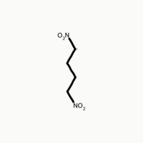 O=[N+]([O-])[CH]CCC[N+](=O)[O-]